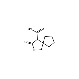 O=C(O)C1C(=O)NCC12CCCC2